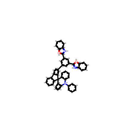 c1ccc(N2c3ccccc3C3(c4ccccc4-c4ccc(-c5cc(-c6nc7ccccc7o6)cc(-c6nc7ccccc7o6)c5)cc43)c3ccccc32)cc1